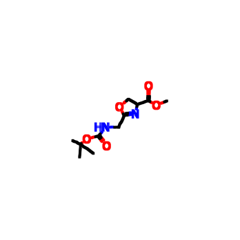 COC(=O)C1COC(CNC(=O)OC(C)(C)C)=N1